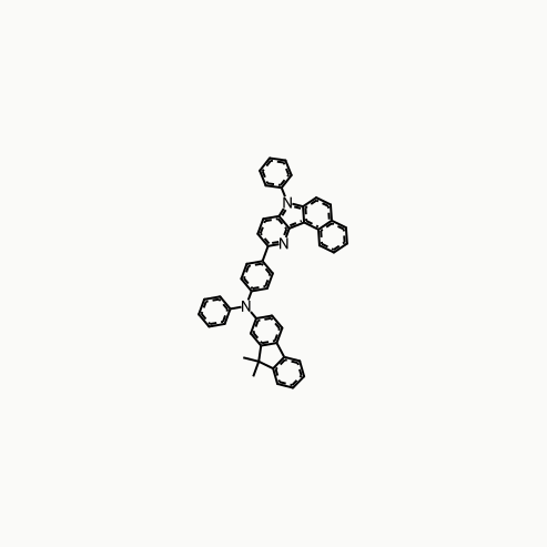 CC1(C)c2ccccc2-c2ccc(N(c3ccccc3)c3ccc(-c4ccc5c(n4)c4c6ccccc6ccc4n5-c4ccccc4)cc3)cc21